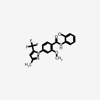 COc1cc(-n2nc(C)cc2C(F)(F)F)ccc1C(=O)Nc1ccccc1Cl